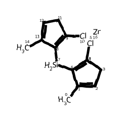 CC1=CCC(Cl)=C1[SiH2]C1=C(Cl)CC=C1C.[Zr]